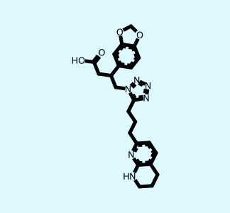 O=C(O)CC(Cn1nnnc1CCCc1ccc2c(n1)NCCC2)c1ccc2c(c1)OCO2